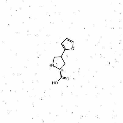 O=C(O)[C@@H]1CC(c2ccco2)CN1